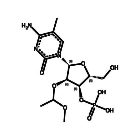 COC(C)O[C@@H]1[C@H](OP(=O)(O)O)[C@@H](CO)O[C@H]1n1cc(C)c(N)nc1=O